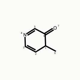 CC1C=CN=CC1=O